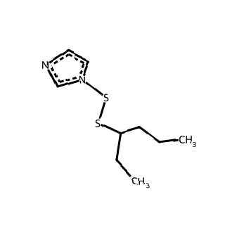 CCCC(CC)SSn1ccnc1